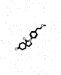 COCCc1ccc(N2CCC3(CCC(=O)CC3)C2=O)cc1